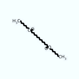 CCCCCCCCOC(=O)CCCCCCCCCCCCC(=O)OCCCCCCCC